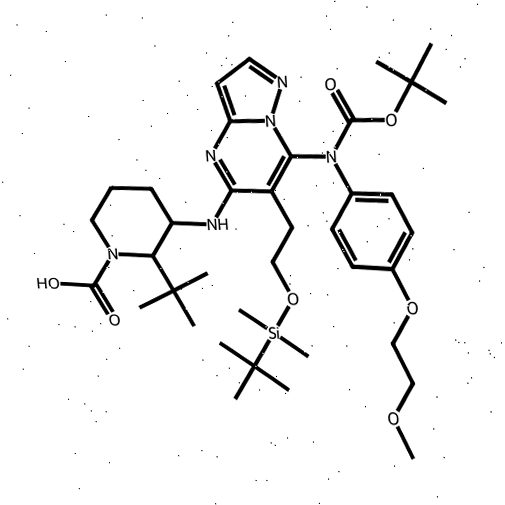 COCCOc1ccc(N(C(=O)OC(C)(C)C)c2c(CCO[Si](C)(C)C(C)(C)C)c(NC3CCCN(C(=O)O)C3C(C)(C)C)nc3ccnn23)cc1